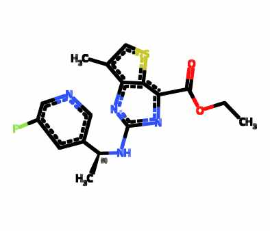 CCOC(=O)c1nc(N[C@@H](C)c2cncc(F)c2)nc2c(C)csc12